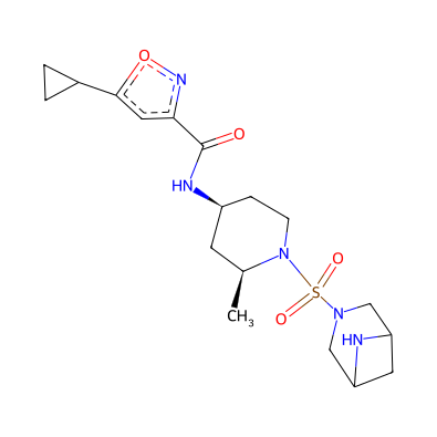 C[C@H]1C[C@@H](NC(=O)c2cc(C3CC3)on2)CCN1S(=O)(=O)N1CC2CC(C1)N2